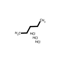 CCCCC.Cl.Cl.Cl